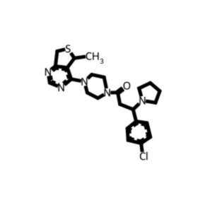 CC1SCc2ncnc(N3CCN(C(=O)CC(c4ccc(Cl)cc4)N4CCCC4)CC3)c21